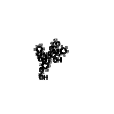 O=C(NC(Cc1ccccc1)C(O)CC(Cc1ccc(OCCO)cc1)C(=O)N[C@H]1c2ccccc2C[C@@H]1O)OC1CCOC1